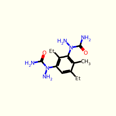 CCc1cc(N(N)C(N)=O)c(CC)c(N(N)C(N)=O)c1C